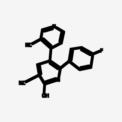 N#Cc1cnccc1-c1cc(C#N)c(O)nc1-c1ccc(F)cc1